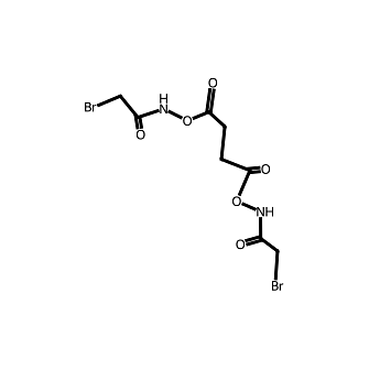 O=C(CBr)NOC(=O)CCC(=O)ONC(=O)CBr